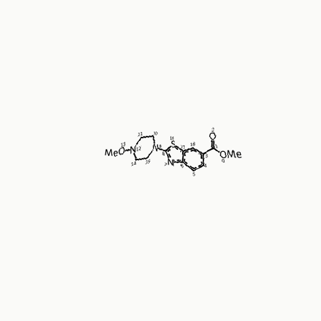 COC(=O)c1ccc2nc(N3CCN(OC)CC3)sc2c1